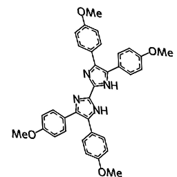 COc1ccc(-c2nc(-c3nc(-c4ccc(OC)cc4)c(-c4ccc(OC)cc4)[nH]3)[nH]c2-c2ccc(OC)cc2)cc1